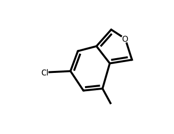 Cc1cc(Cl)cc2cocc12